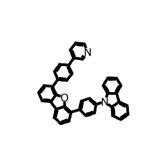 c1cncc(-c2ccc(-c3cccc4c3oc3c(-c5ccc(-n6c7ccccc7c7ccccc76)cc5)cccc34)cc2)c1